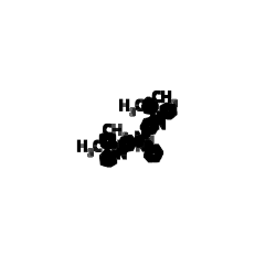 Cc1cc(C)cc(-n2c(-c3ccccc3)nc3cc(-c4nc(-c5ccccc5)nc(-c5ccc6c(c5)nc(-c5ccccc5)n6-c5cc(C)cc(C)c5)n4)ccc32)c1